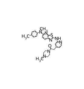 Cc1ccc(N(C)c2ccc3nc(Nc4cc(CC(=O)N5CCN(C)CC5)ccn4)sc3n2)cc1